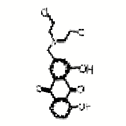 O=C1c2cccc(O)c2C(=O)c2c(O)cc(CN(CCCl)CCCl)cc21